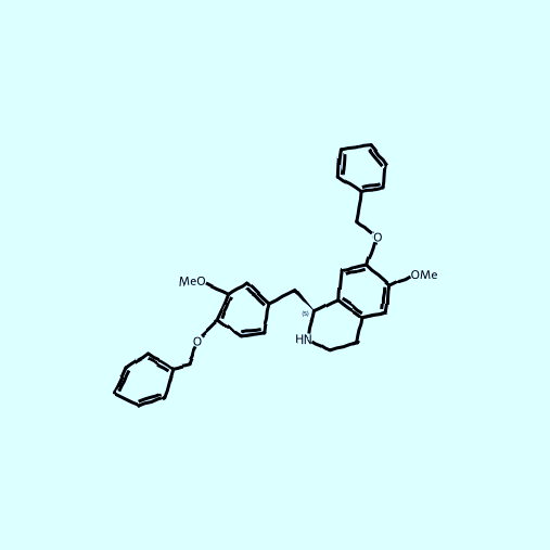 COc1cc(C[C@@H]2NCCc3cc(OC)c(OCc4ccccc4)cc32)ccc1OCc1ccccc1